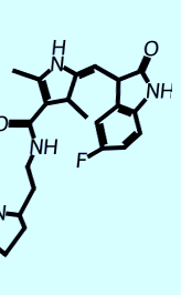 CC1=C(C(=O)NCCC2CCCN2C)C(C)C(=CC2C(=O)Nc3ccc(F)cc32)N1